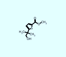 COC(=O)c1ccc(C(C)(C)CO)s1